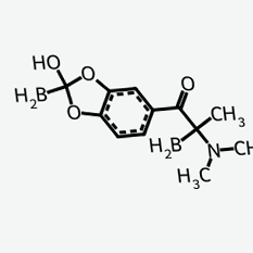 BC1(O)Oc2ccc(C(=O)C(B)(C)N(C)C)cc2O1